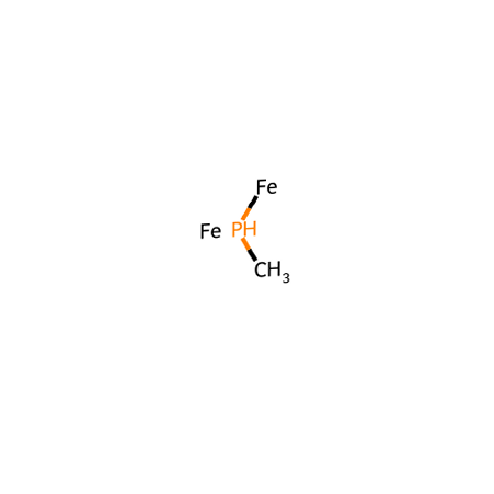 C[PH][Fe].[Fe]